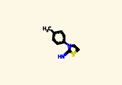 Cc1ccc(-n2ccsc2=N)cc1